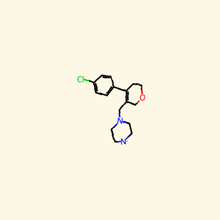 Clc1ccc(C2=C(CN3CC[N]CC3)COCC2)cc1